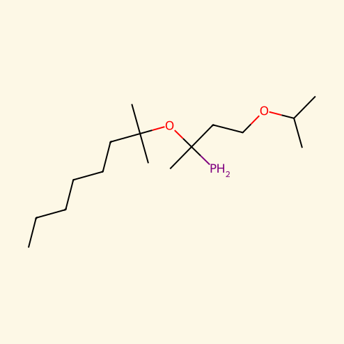 CCCCCCC(C)(C)OC(C)(P)CCOC(C)C